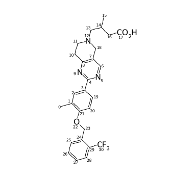 Cc1cc(-c2ncc3c(n2)CCN(CC(C)CC(=O)O)C3)ccc1OCc1ccccc1C(F)(F)F